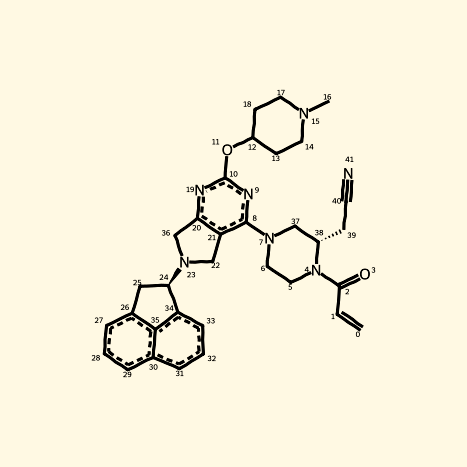 C=CC(=O)N1CCN(c2nc(OC3CCN(C)CC3)nc3c2CN([C@@H]2Cc4cccc5cccc2c45)C3)C[C@@H]1CC#N